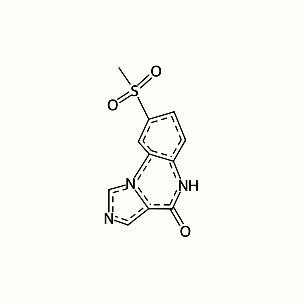 CS(=O)(=O)c1ccc2[nH]c(=O)c3cncn3c2c1